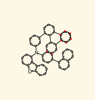 c1ccc(-c2ccccc2-c2c(-c3ccccc3)cccc2-c2cccc(N(c3ccc(-c4cccc5ccccc45)cc3)c3cccc4oc5ccccc5c34)c2)cc1